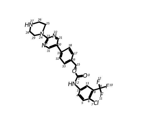 O=C(Nc1ccc(Cl)c(C(F)(F)F)c1)OCc1ccc(-c2cnc(N3CCNCC3)nc2)cc1